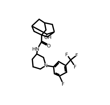 O=C(NC1CCCN(c2cc(F)cc(C(F)(F)F)c2)C1)C12CC3CC(C1)C(O)C(C3)C2